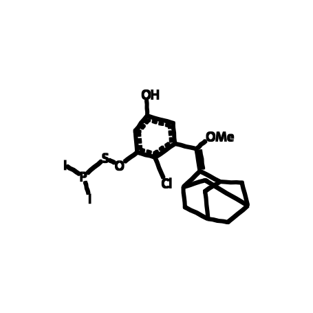 COC(=C1C2CC3CC(C2)CC1C3)c1cc(O)cc(OSP(I)I)c1Cl